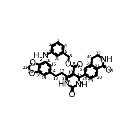 Nc1cccc(COC(=O)C2=C(CCc3ccc4c(c3)OCO4)NC(=O)NC2c2ccc3c(c2)CCNC3=O)c1